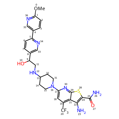 COc1ccc(-c2ccc(C(O)CNC3CCN(c4cc(C(F)(F)F)c5c(N)c(C(N)=O)sc5n4)CC3)cn2)cn1